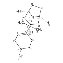 CC(C)N1CC=C(C(C)(C)N2[C@@H]3CC[C@H]2C[C@H](O)C3)CC1